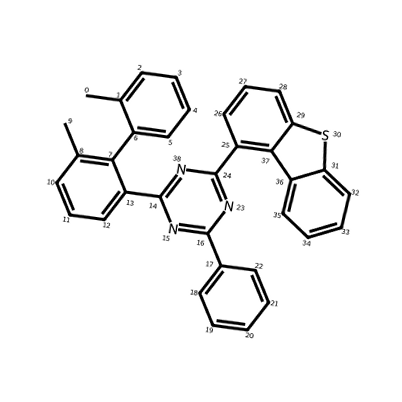 Cc1ccccc1-c1c(C)cccc1-c1nc(-c2ccccc2)nc(-c2cccc3sc4ccccc4c23)n1